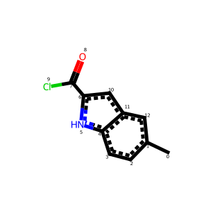 Cc1ccc2[nH]c(C(=O)Cl)cc2c1